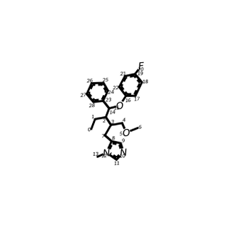 CCC(C(COC)Cc1cncn1C)C(Oc1ccc(F)cc1)c1ccccc1